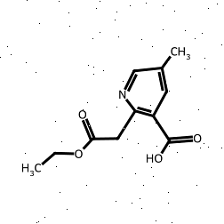 CCOC(=O)Cc1ncc(C)cc1C(=O)O